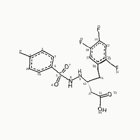 Cc1ccc(S(=O)(=O)NN[C@@H](CC(=O)O)Cc2cc(F)c(F)cc2F)cc1